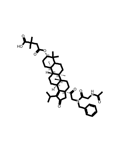 CC(=O)NCC(=O)N(CC(=O)[C@@]12CC[C@]3(C)[C@H](CC[C@@H]4[C@@]5(C)CC[C@H](OC(=O)CC(C)(C)C(=O)O)C(C)(C)C5CC[C@]43C)C1=C(C(C)C)C(=O)C2)Cc1ccccc1